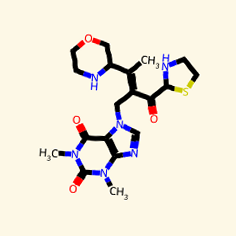 CC(=C(Cn1cnc2c1c(=O)n(C)c(=O)n2C)C(=O)C1NCCS1)C1COCCN1